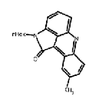 CCCCCCN1C(=O)c2c3cc(C)ccc3nc3cccc1c23